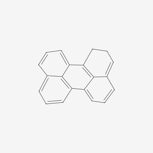 C1=c2cccc3c2c(c2cccc4cccc3c42)CC1